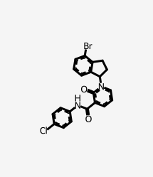 O=C(Nc1ccc(Cl)cc1)c1cccn(C2CCc3c(Br)cccc32)c1=O